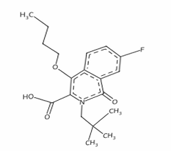 CCCCOc1c(C(=O)O)n(CC(C)(C)C)c(=O)c2cc(F)ccc12